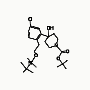 CC(C)(C)OC(=O)N1CCC(O)(c2cc(Cl)ccc2CCO[Si](C)(C)C(C)(C)C)CC1